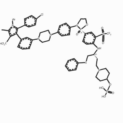 Cc1c(C(=O)O)c(-c2cccc(N3CCN(c4ccc(N5CCO[P@]5(=O)c5ccc(N[C@H](CCN6CCC(OP(=O)(O)O)CC6)CSc6ccccc6)c(S(=O)(=O)C(F)(F)F)c5)cc4)CC3)c2)c(-c2ccc(Cl)cc2)n1C(C)C